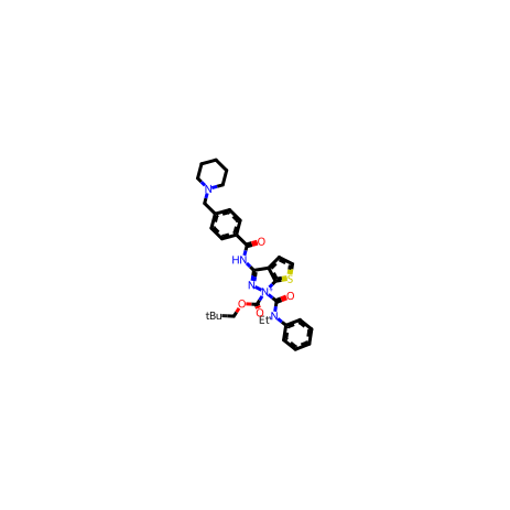 CCN(C(=O)[N+]1(C(=O)OCC(C)(C)C)N=C(NC(=O)c2ccc(CN3CCCCC3)cc2)c2ccsc21)c1ccccc1